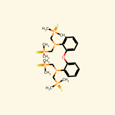 CP(C)(=S)CP(CP(C)(C)=S)c1ccccc1Oc1ccccc1P(CP(C)(C)=S)CP(C)(C)=S